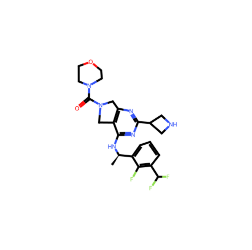 C[C@@H](Nc1nc(C2CNC2)nc2c1CN(C(=O)N1CCOCC1)C2)c1cccc(C(F)F)c1F